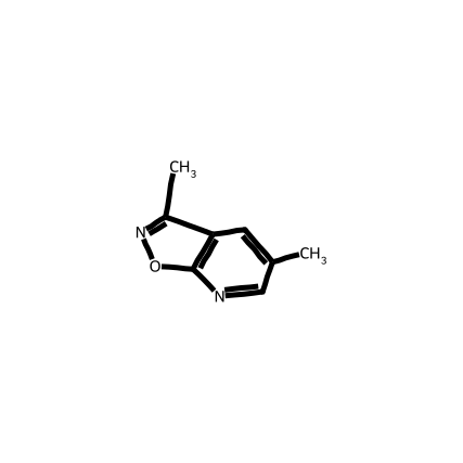 Cc1cnc2onc(C)c2c1